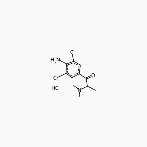 CC(C(=O)c1cc(Cl)c(N)c(Cl)c1)N(C)C.Cl